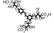 O=C(O)[C@@H](O)[C@@H](O)C(=O)Oc1ccc(/C=C/c2cc(OC(=O)[C@H](O)[C@@H](O)C(=O)O)cc(OC(=O)[C@H](O)[C@@H](O)C(=O)O)c2)cc1